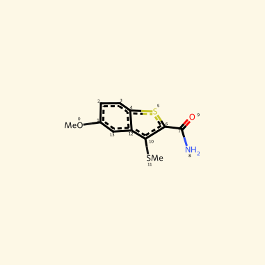 COc1ccc2sc(C(N)=O)c(SC)c2c1